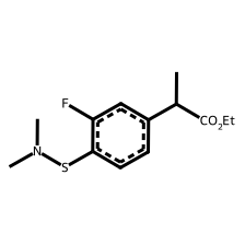 CCOC(=O)C(C)c1ccc(SN(C)C)c(F)c1